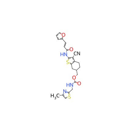 Cc1csc(CNC(=O)OCC2CCc3c(sc(NC(=O)C=Cc4ccco4)c3C#N)C2)n1